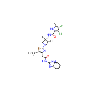 Cc1[nH]c(C(=O)N[C@@H]2[C@@H]3CN(c4nc(CC(=O)Nc5nc6ccccc6[nH]5)c(C(=O)O)s4)C[C@@H]32)c(Cl)c1Cl